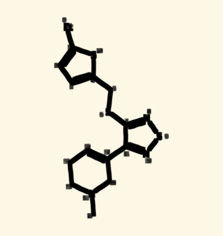 CCc1ccc(CSc2nsnc2C2=CCCN(C)C2)s1